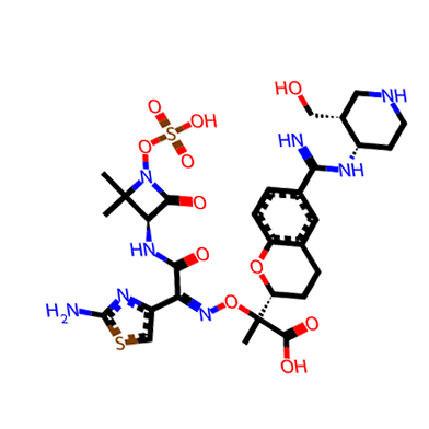 CC(O/N=C(\C(=O)N[C@@H]1C(=O)N(OS(=O)(=O)O)C1(C)C)c1csc(N)n1)(C(=O)O)[C@H]1CCc2cc(C(=N)N[C@H]3CCNC[C@H]3CO)ccc2O1